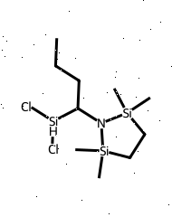 CCCC(N1[Si](C)(C)CC[Si]1(C)C)[SiH](Cl)Cl